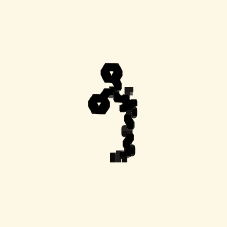 CCCOCCOCCOC(C)(C)C(F)CN(Cc1ccccc1)Cc1ccccc1